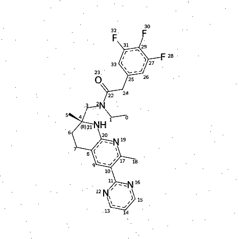 CCN(C[C@@]1(C)CCc2cc(-c3ncccn3)c(C)nc2N1)C(=O)Cc1cc(F)c(F)c(F)c1